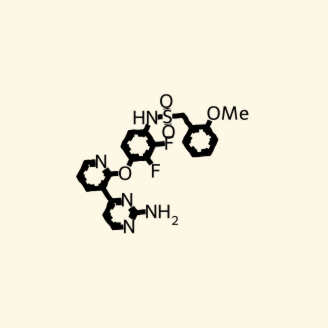 COc1ccccc1CS(=O)(=O)Nc1ccc(Oc2ncccc2-c2ccnc(N)n2)c(F)c1F